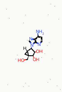 Nc1ccnc2c1ncn2[C@H]1C(O)[C@@H](O)[C@]2(CO)C[C@H]12